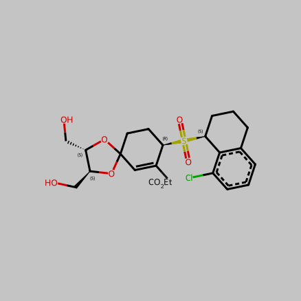 CCOC(=O)C1=CC2(CC[C@H]1S(=O)(=O)[C@H]1CCCc3cccc(Cl)c31)O[C@@H](CO)[C@H](CO)O2